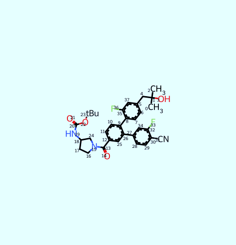 CC(C)(O)Cc1ccc(-c2ccc(C(=O)N3CCC(NC(=O)OC(C)(C)C)C3)cc2-c2ccc(C#N)c(F)c2)c(F)c1